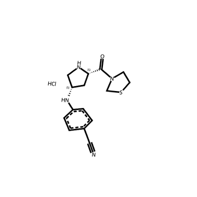 Cl.N#Cc1ccc(N[C@@H]2CN[C@H](C(=O)N3CCSC3)C2)cc1